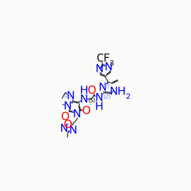 C=C/C(=N\C(=C/N)NC(=O)[C@H](C)Nc1c(/N=C\C)n(C)c(=O)n(Cc2nc(C)no2)c1=O)c1cnc(C(F)(F)F)nc1